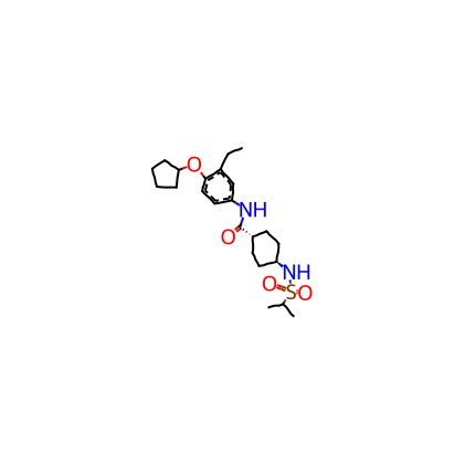 CCc1cc(NC(=O)[C@H]2CC[C@H](NS(=O)(=O)C(C)C)CC2)ccc1OC1CCCC1